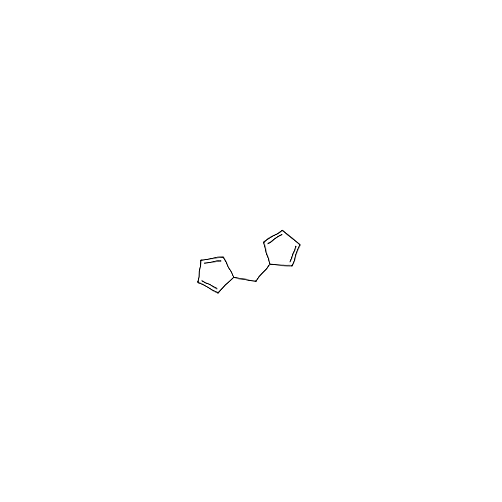 C1=CC(CC2C=CC=C2)C=C1